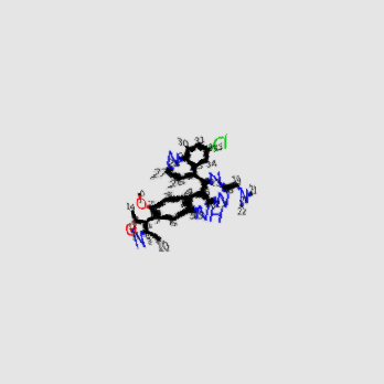 COc1cc2c(cc1-c1c(C)noc1C)[nH]c1nc(CN(C)C)nc(-c3ccnc4ccc(Cl)cc34)c12